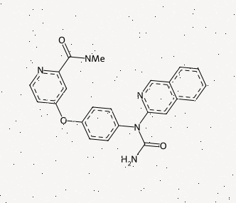 CNC(=O)c1cc(Oc2ccc(N(C(N)=O)c3cc4ccccc4cn3)cc2)ccn1